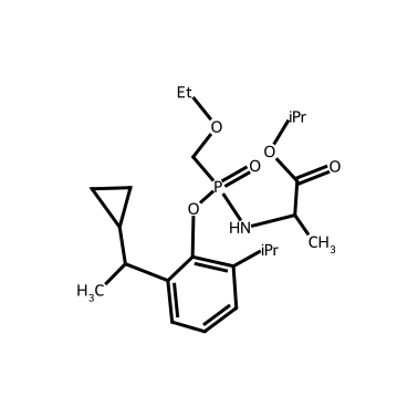 CCOCP(=O)(NC(C)C(=O)OC(C)C)Oc1c(C(C)C)cccc1C(C)C1CC1